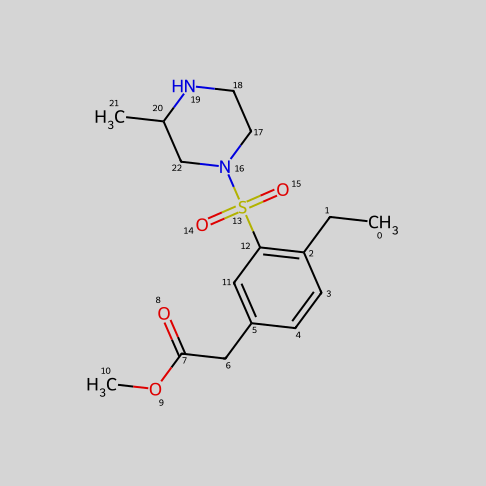 CCc1ccc(CC(=O)OC)cc1S(=O)(=O)N1CCNC(C)C1